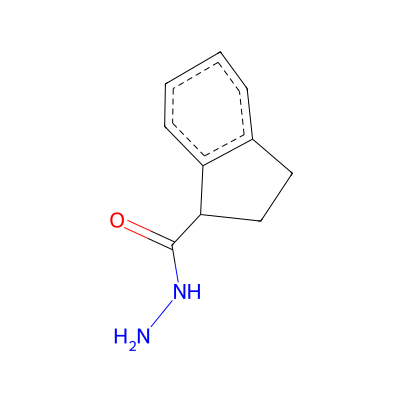 NNC(=O)C1CCc2ccccc21